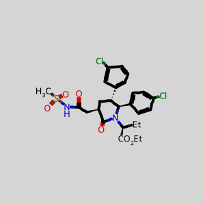 CCOC(=O)[C@H](CC)N1C(=O)[C@@H](CC(=O)NS(C)(=O)=O)C[C@H](c2cccc(Cl)c2)[C@H]1c1ccc(Cl)cc1